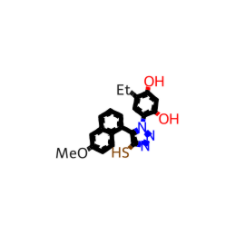 CCc1cc(-n2nnc(S)c2-c2cccc3cc(OC)ccc23)c(O)cc1O